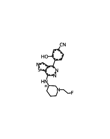 N#Cc1ccc(-c2nnc(N[C@@H]3CCCN(CCF)C3)c3sncc23)c(O)c1